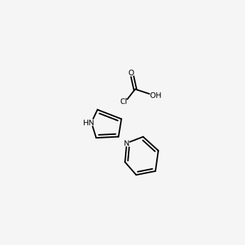 O=C(O)Cl.c1cc[nH]c1.c1ccncc1